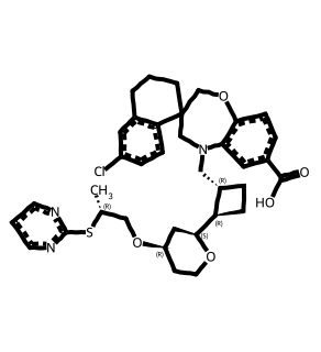 C[C@H](CO[C@@H]1CCO[C@H]([C@@H]2CC[C@H]2CN2CC3(CCCc4cc(Cl)ccc43)COc3ccc(C(=O)O)cc32)C1)Sc1ncccn1